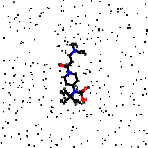 CN(C)CCC(=O)N1CCC(N(C(=O)O)C(C)(C)C)CC1